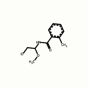 COC(CCl)NC(=O)c1ccccc1C